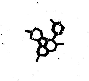 Cc1cc2c3c(c1)c1c(n3C(c3ccnc(C)c3)C(C)C2)CCN(C)C1